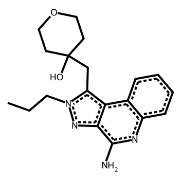 CCCn1nc2c(N)nc3ccccc3c2c1CC1(O)CCOCC1